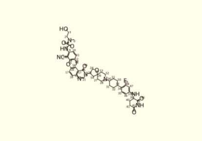 CN(CCO)S(=O)(=O)Nc1ccc(F)c(Oc2ccc3ncn(C4COC5(CCN(C6CCC(c7ccc(NC8CCC(=O)NC8=O)cc7F)CC6)CC5)C4)c(=O)c3c2)c1C#N